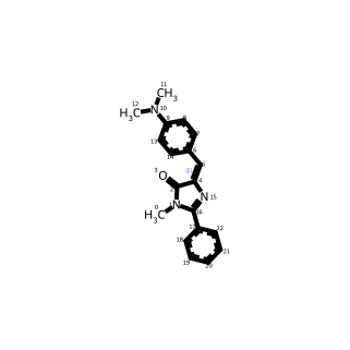 CN1C(=O)/C(=C\c2ccc(N(C)C)cc2)N=C1c1ccccc1